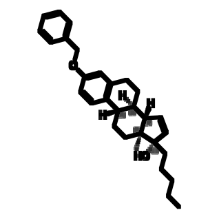 CCCCC[C@]1(O)C=C[C@H]2[C@@H]3CCc4cc(OCc5ccccc5)ccc4[C@H]3CC[C@@]21C